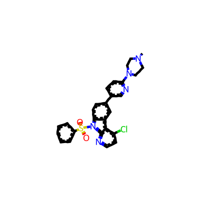 CN1CCN(c2ccc(-c3ccc4c(c3)c3c(Cl)ccnc3n4S(=O)(=O)c3ccccc3)cn2)CC1